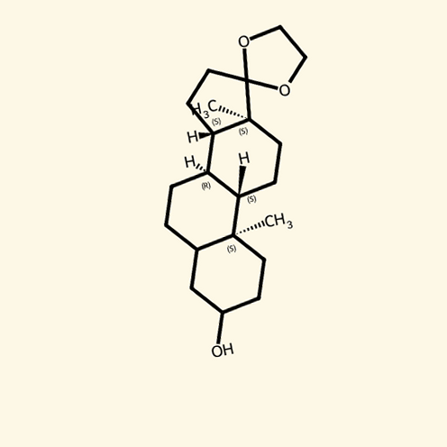 C[C@]12CCC(O)CC1CC[C@@H]1[C@@H]2CC[C@@]2(C)[C@H]1CCC21OCCO1